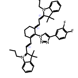 CCCN1/C(=C/C=C2\CCCC(/C=C/C3=[N+](CCC)c4ccccc4C3(C)C)=C2n2cc(-c3ccc(F)c(F)c3)nn2)C(C)(C)c2ccccc21